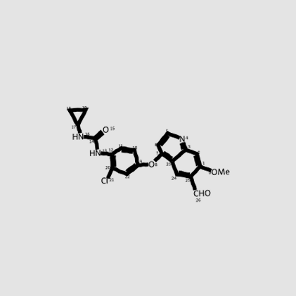 COc1cc2nccc(Oc3ccc(NC(=O)NC4CC4)c(Cl)c3)c2cc1C=O